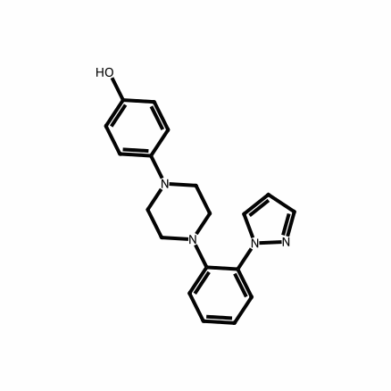 Oc1ccc(N2CCN(c3ccccc3-n3cccn3)CC2)cc1